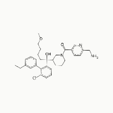 CCc1cccc(-c2c(Cl)cccc2C(O)(CCCCOC)C2CCCN(C(=O)c3ccc(CN)nc3)C2)c1